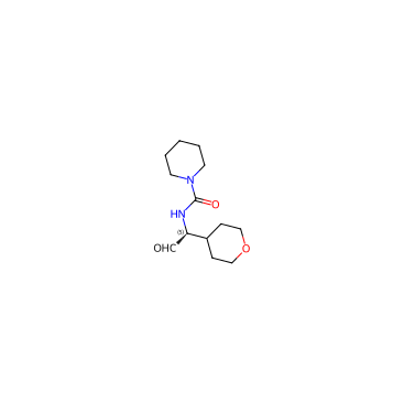 O=C[C@@H](NC(=O)N1CCCCC1)C1CCOCC1